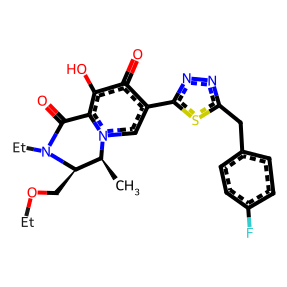 CCOC[C@@H]1[C@H](C)n2cc(-c3nnc(Cc4ccc(F)cc4)s3)c(=O)c(O)c2C(=O)N1CC